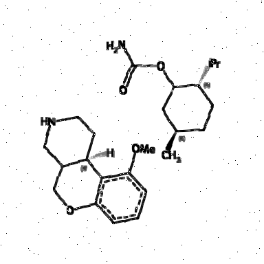 CC(C)[C@@H]1CC[C@@H](C)CC1OC(N)=O.COc1cccc2c1[C@@H]1CCNCC1CO2